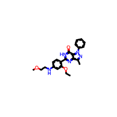 CCOc1cc(NCCOC)ccc1-c1nc2c(C)nn(-c3ccccc3)c2c(=O)[nH]1